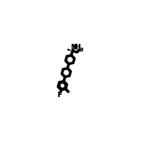 CC[C@](C)(N)C1CCC(C2CCC(c3ccc(F)c(C)c3)CC2)CC1